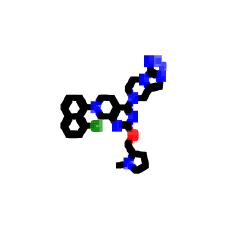 CN1CCCC1COc1nc2c(c(N3CCn4c(cnc4N)C3)n1)CCN(c1cccc3cccc(Cl)c13)C2